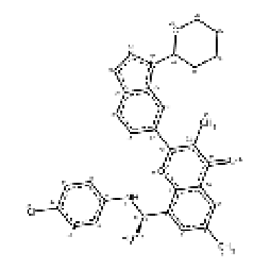 Cc1cc([C@@H](C)Nc2ccc(Cl)nc2)c2oc(-c3ccc4cnn(C5CCCCO5)c4c3)c(C)c(=O)c2c1